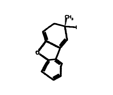 C[C@]1(I)C=c2c(oc3ccccc23)=CC1